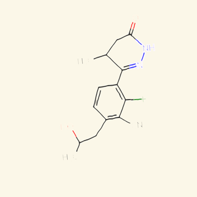 CC(O)Cc1ccc(C2=NNC(=O)CC2C)c(F)c1C#N